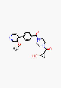 COc1cnccc1-c1ccc(C(=O)N2CCN(C(=O)C3CC3O)CC2)cc1